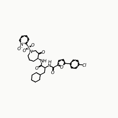 O=C(NC(CC1CCCCC1)C(=O)N[C@H]1CCCN(S(=O)(=O)c2cccc[n+]2[O-])CC1=O)c1ccc(-c2ccc(Cl)cc2)o1